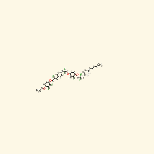 CCCCCC1CCC(CC(F)(F)COc2ccc(OCC(F)(F)CC3CCC(CC(F)COc4ccc(OCC)c(F)c4F)CC3)c(F)c2F)CC1